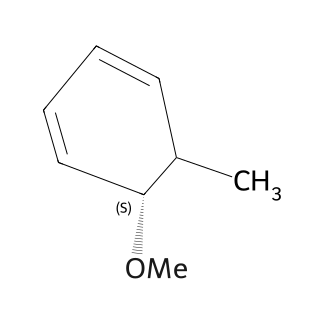 CO[C@@H]1C=CC=CC1C